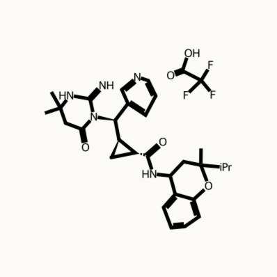 CC(C)C1(C)CC(NC(=O)[C@@H]2C[C@H]2[C@H](c2cccnc2)N2C(=N)NC(C)(C)CC2=O)c2ccccc2O1.O=C(O)C(F)(F)F